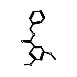 COc1[c]c(OC)cc(C(=O)OCc2ccccc2)c1